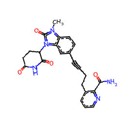 Cn1c(=O)n(C2CCC(=O)NC2=O)c2cc(C#CCCc3cccnc3C(N)=O)ccc21